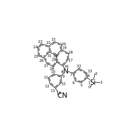 C[Si](C)(C)c1ccc(N(c2cccc(C#N)c2)c2ccc3ccc4cccc5ccc2c3c45)cc1